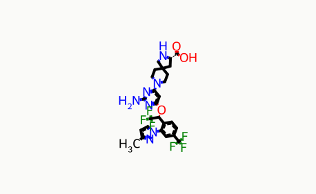 Cc1ccn(-c2cc(C(F)(F)F)ccc2[C@@H](Oc2cc(N3CCC4(CC3)CN[C@H](C(=O)O)C4)nc(N)n2)C(F)(F)F)n1